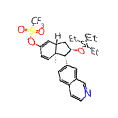 CC[Si](CC)(CC)O[C@@H]1C[C@H]2C=C(OS(=O)(=O)C(F)(F)F)C=C[C@]2(C)[C@H]1c1ccc2ccncc2c1